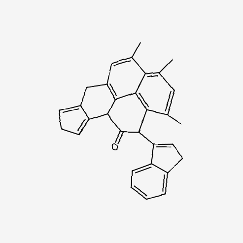 Cc1cc(C)c2c(C)cc3c4c2c1C(C1=CCc2ccccc21)C(=O)C4C1=CCC=C1C3